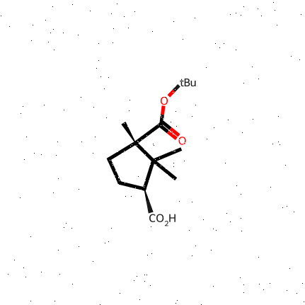 CC(C)(C)OC(=O)[C@@]1(C)CC[C@H](C(=O)O)C1(C)C